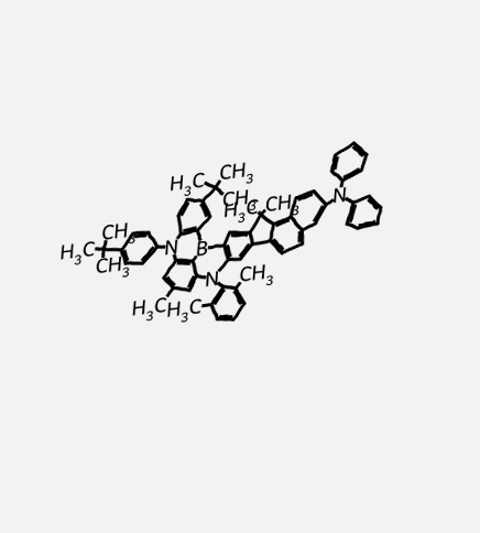 Cc1cc2c3c(c1)N(c1c(C)cccc1C)c1cc4c(cc1B3c1cc(C(C)(C)C)ccc1N2c1ccc(C(C)(C)C)cc1)C(C)(C)c1c-4ccc2cc(N(c3ccccc3)c3ccccc3)ccc12